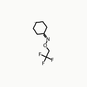 FC(F)(F)CON=C1CC[CH]CC1